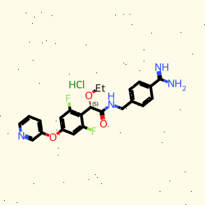 CCO[C@H](C(=O)NCc1ccc(C(=N)N)cc1)c1c(F)cc(Oc2cccnc2)cc1F.Cl